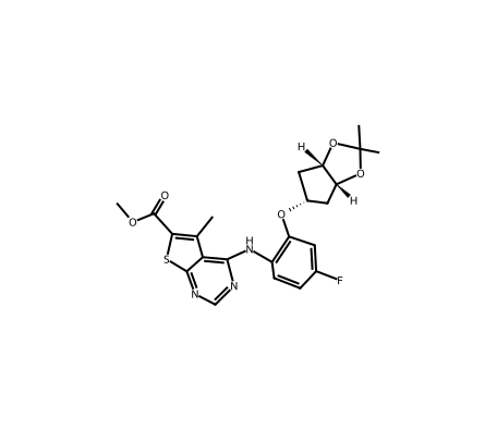 COC(=O)c1sc2ncnc(Nc3ccc(F)cc3O[C@@H]3C[C@@H]4OC(C)(C)O[C@@H]4C3)c2c1C